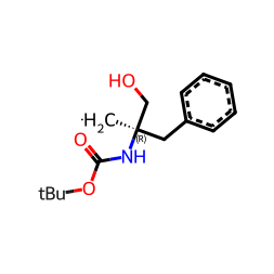 [CH2][C@](CO)(Cc1ccccc1)NC(=O)OC(C)(C)C